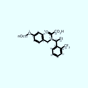 CCCCCCCCOc1ccc(CN(C(=O)C(=O)O)C(CC)c2ccccc2C(F)(F)F)cc1